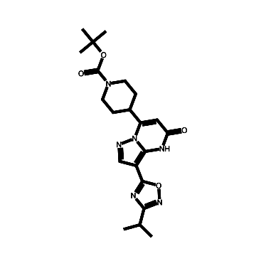 CC(C)c1noc(-c2cnn3c(C4CCN(C(=O)OC(C)(C)C)CC4)cc(=O)[nH]c23)n1